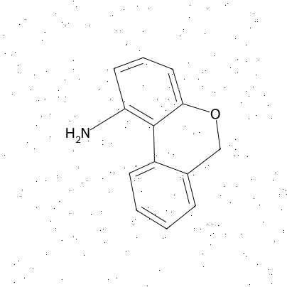 Nc1cccc2c1-c1ccccc1CO2